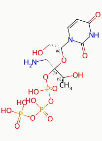 C[C@H](O)[C@](CN)(O[C@H](CO)n1ccc(=O)[nH]c1=O)OP(=O)(O)OP(=O)(O)OP(=O)(O)O